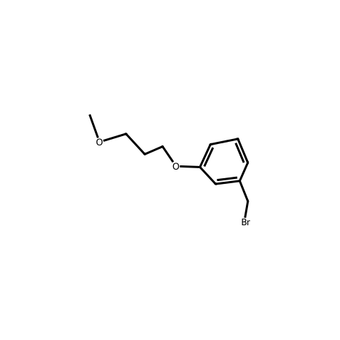 COCCCOc1cccc(CBr)c1